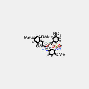 COc1cc(OC)c(C=CC(=O)Nc2ccc(OC)c(NS(=O)(=O)c3ccc([N+](=O)[O-])cc3[N+](=O)[O-])c2)c(OC)c1